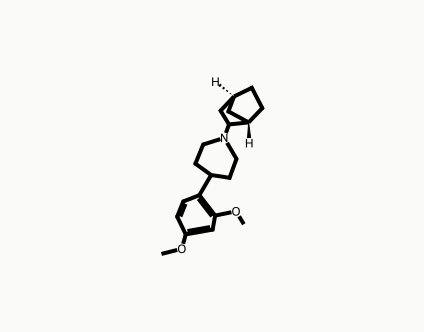 COc1ccc(C2CCN(C3C[C@H]4CC[C@H]3C4)CC2)c(OC)c1